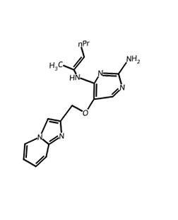 CCCC=C(C)Nc1nc(N)ncc1OCc1cn2ccccc2n1